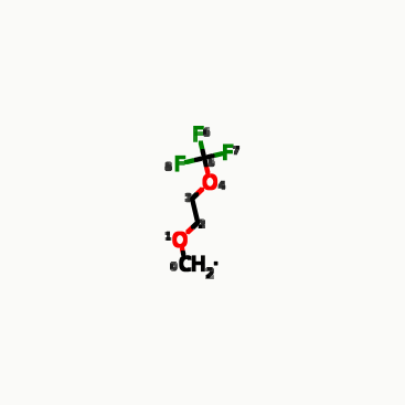 [CH2]OCCOC(F)(F)F